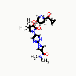 CN(C)C(=O)C1CN(c2ncc(N3CC(C)(C)C(Oc4ccc(C(=O)C5CC5)nc4)C3=O)cn2)C1